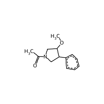 COC1CN(C(C)=O)CC1c1ccccc1